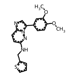 COc1ccc(-c2cnc3ccc(NCc4cccs4)nn23)cc1OC